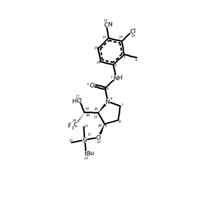 Cc1c(NC(=O)N2CC[C@@H](O[Si](C)(C)C(C)(C)C)[C@H]2[C@@H](O)C(F)(F)F)ccc(C#N)c1Cl